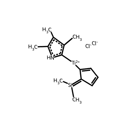 Cc1[nH][c]([Ti+2][C]2=CC=CC2=[Si](C)C)c(C)c1C.[Cl-].[Cl-]